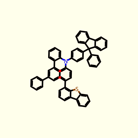 c1ccc(-c2cccc(-c3ccccc3N(c3ccc(-c4cccc5c4sc4ccccc45)cc3)c3ccc(C4(c5ccccc5)c5ccccc5-c5ccccc54)cc3)c2)cc1